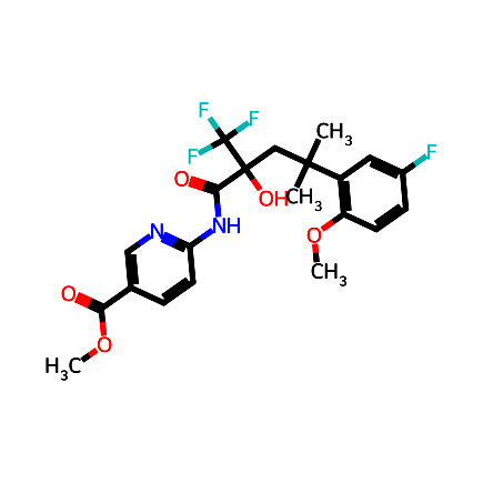 COC(=O)c1ccc(NC(=O)C(O)(CC(C)(C)c2cc(F)ccc2OC)C(F)(F)F)nc1